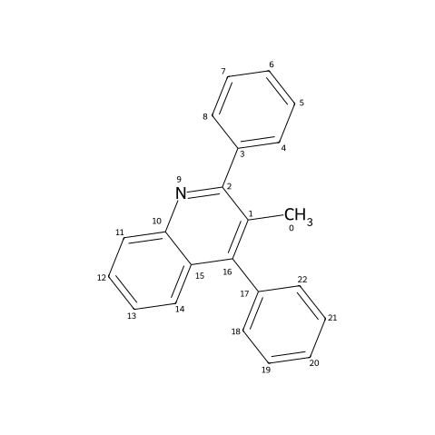 Cc1c(-c2ccccc2)nc2ccccc2c1-c1ccccc1